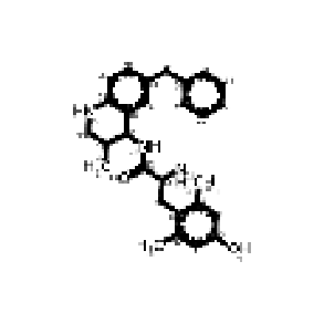 Cc1cc(O)cc(C)c1CC(N)C(=O)NC1c2cc(Cc3ccccc3)ccc2NCC1C